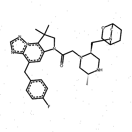 C[C@@H]1CN(CC(=O)N2CC(C)(C)c3c2cc(Cc2ccc(F)cc2)c2ncnn32)[C@@H](CN2CC3CCC2CO3)CN1